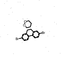 Brc1ccc2c(c1)CCc1cc(Br)ccc1-2.C1CCOOC1